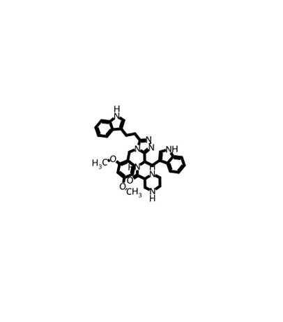 COc1ccc(Cn2c(CCc3c[nH]c4ccccc34)nnc2C(Cc2c[nH]c3ccccc23)NC(=O)C2CNCCN2)c(OC)c1